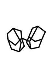 C1C2CC3CC1CC(C2)C3C12CC3CC(CC(C3)C1)C2